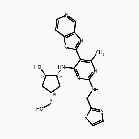 Cc1nc(NCc2nccs2)nc(N[C@@H]2C[C@H](CO)C[C@H]2O)c1-c1nc2cnccc2s1